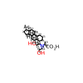 CC(=O)[C@H]1CC[C@H]2[C@@H]3CC[C@H]4C[C@@H](CC(C(=O)O)N(CCO)CCO)CC[C@]4(C)[C@H]3CC[C@]12C